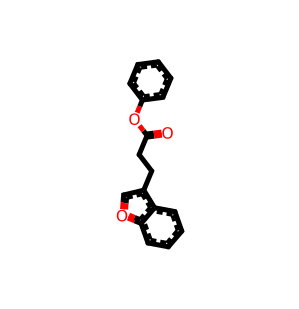 O=C(CCc1coc2ccccc12)Oc1ccccc1